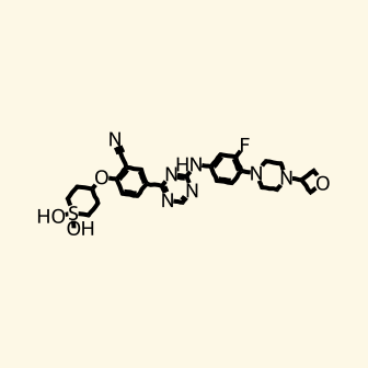 N#Cc1cc(-c2ncnc(Nc3ccc(N4CCN(C5COC5)CC4)c(F)c3)n2)ccc1OC1CCS(O)(O)CC1